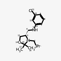 C[C](C)CN1[C@@H](CNc2cccc(Cl)c2)COC1(C)C